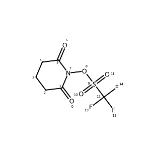 O=C1CCCC(=O)N1OS(=O)(=O)C(F)(F)F